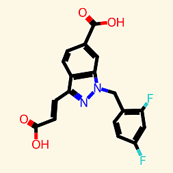 O=C(O)/C=C/c1nn(Cc2ccc(F)cc2F)c2cc(C(=O)O)ccc12